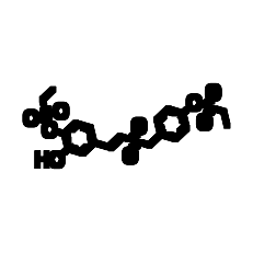 CCS(=O)(=O)Oc1ccc(CS(=O)(=O)/C=C/c2ccc(OS(=O)(=O)CC)c(O)c2)cc1